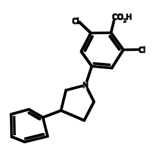 O=C(O)c1c(Cl)cc(N2CCC(c3ccccc3)C2)cc1Cl